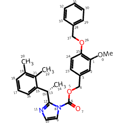 COc1cc(COC(=O)n2ccnc2[C@@H](C)c2cccc(C)c2C)ccc1OCc1ccccc1